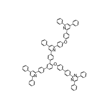 c1ccc(-c2cc(-c3ccccc3)nc(-c3ccc(Oc4ccc(-c5cc(-c6ccccc6)cc(-c6ccc(-c7cc(-c8ccc(-c9cc(-c%10ccccc%10)cc(-c%10ccccc%10)n9)cc8)ccc7Oc7ccc(-c8ccc(-c9nc(-c%10ccccc%10)cc(-c%10ccccc%10)n9)cc8)cc7)cc6)n5)cc4)cc3)c2)cc1